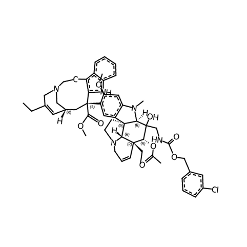 CCC1=C[C@@H]2CN(CCc3c([nH]c4ccccc34)[C@@](C(=O)OC)(c3cc4c(cc3OC)N(C)[C@H]3C(O)(CNC(=O)OCc5cccc(Cl)c5)[C@H](OC(C)=O)[C@]5(CC)C=CCN6CC[C@]43[C@@H]65)C2)C1